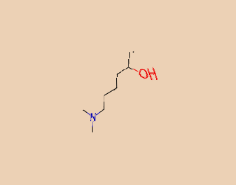 [CH2]C(O)CCCCN(C)C